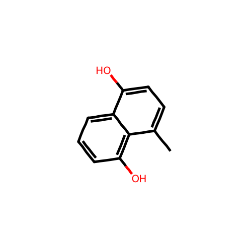 Cc1ccc(O)c2cccc(O)c12